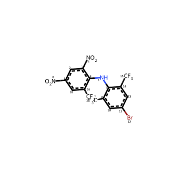 O=[N+]([O-])c1cc([N+](=O)[O-])c(Nc2c(C(F)(F)F)cc(Br)cc2C(F)(F)F)c(C(F)(F)F)c1